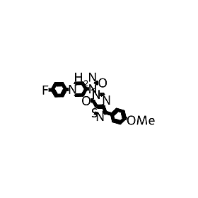 COc1ccc(-c2nsc3c(=O)n(N(C(N)=O)C4CCN(c5ccc(F)cc5)CC4)cnc23)cc1